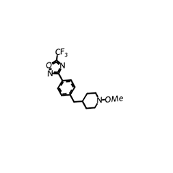 CON1CCC(Cc2ccc(-c3noc(C(F)(F)F)n3)cc2)CC1